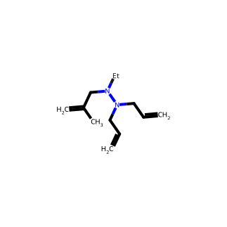 C=CCN(CC=C)N(CC)CC(=C)C